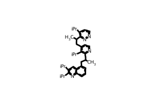 CC(C)c1cc2c(CC(C)c3nccc(CC(C)c4nnccc4C(C)C)c3C(C)C)cccc2nc1C(C)C